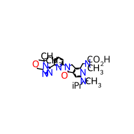 CC(C)N(C)c1cc2c(c(CN(C)C(=O)O)n1)CN(c1cccc(-c3nnc4n3C(C)(C)COC4)n1)C2=O